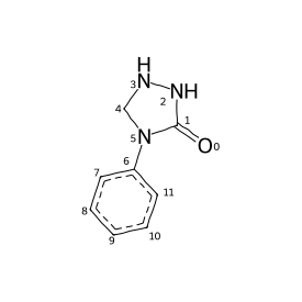 O=C1NNCN1c1ccccc1